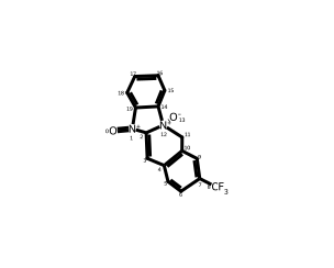 O=[N+]1C2=Cc3ccc(C(F)(F)F)cc3C[N+]2([O-])c2ccccc21